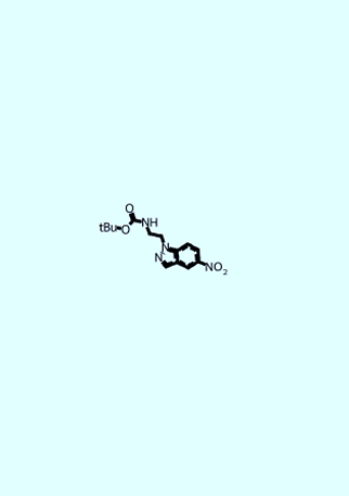 CC(C)(C)OC(=O)NCCn1ncc2cc([N+](=O)[O-])ccc21